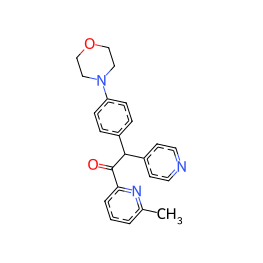 Cc1cccc(C(=O)C(c2ccncc2)c2ccc(N3CCOCC3)cc2)n1